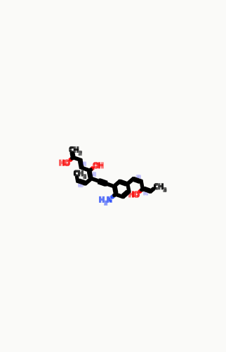 C=C(O)/C=C/C(O)=C(C#Cc1cc(/C=C\C(O)=C/C)ccc1N)\C=C/C